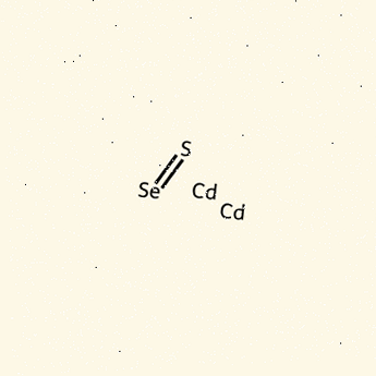 S=[Se].[Cd].[Cd]